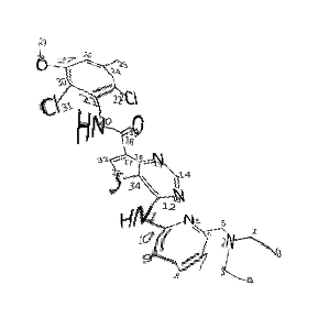 CCN(CC)Cc1cccc(Nc2ncnc3c(C(=O)Nc4c(Cl)c(C)cc(OC)c4Cl)csc23)n1